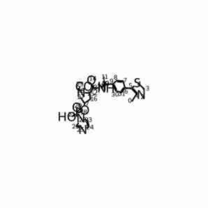 Cc1ncsc1-c1ccc([C@H](C)NC(=O)C2CC(OP(=O)(O)n3ccnc3)CN2C(=O)O)cc1